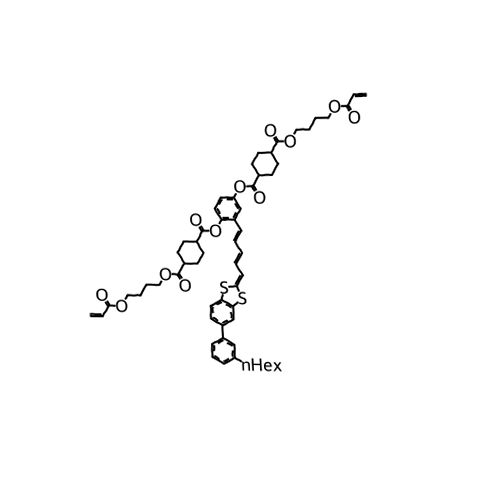 C=CC(=O)OCCCCOC(=O)C1CCC(C(=O)Oc2ccc(OC(=O)C3CCC(C(=O)OCCCCOC(=O)C=C)CC3)c(/C=C/C=C/C=C3\Sc4ccc(-c5cccc(CCCCCC)c5)cc4S3)c2)CC1